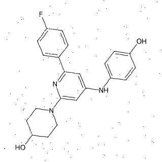 Oc1ccc(Nc2cc(-c3ccc(F)cc3)nc(N3CCC(O)CC3)c2)cc1